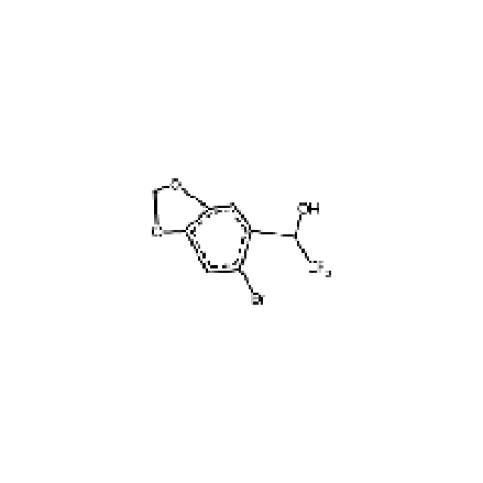 OC(c1cc2c(cc1Br)OCO2)C(F)(F)F